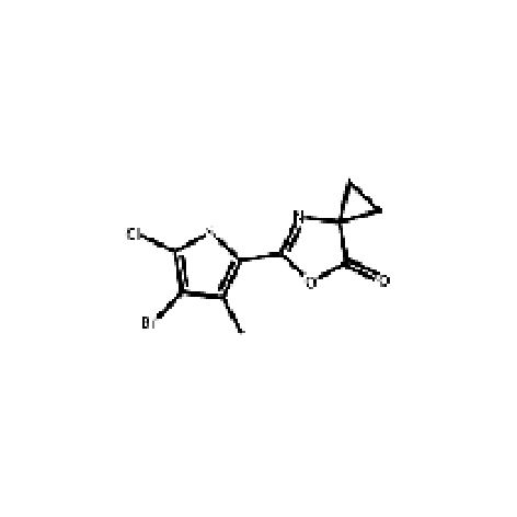 Cc1c(C2=NC3(CC3)C(=O)O2)sc(Cl)c1Br